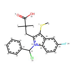 CSc1c(CC(C)(C)C(=O)O)n(C(Cl)c2ccccc2)c2ccc(F)cc12